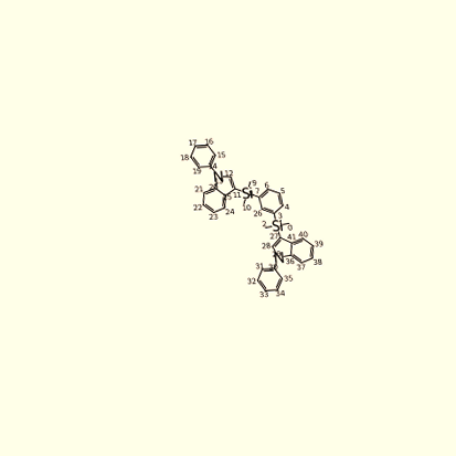 C[Si](C)(c1cccc([Si](C)(C)c2cn(-c3ccccc3)c3ccccc23)c1)c1cn(-c2ccccc2)c2ccccc12